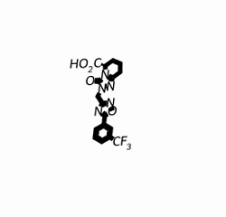 O=C(O)[C@H]1CCCc2nn(Cc3noc(-c4cccc(C(F)(F)F)c4)n3)c(=O)n21